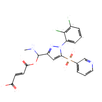 CNC(OC(=O)/C=C/C(=O)O)c1cc(S(=O)(=O)c2cccnc2)n(-c2cccc(F)c2Cl)n1